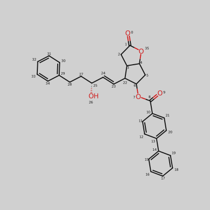 O=C1CC2C(CC(OC(=O)c3ccc(-c4ccccc4)cc3)C2C=C[C@H](O)CCc2ccccc2)O1